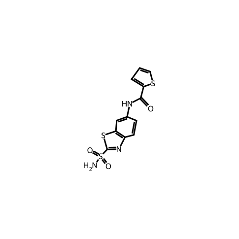 NS(=O)(=O)c1nc2ccc(NC(=O)c3cccs3)cc2s1